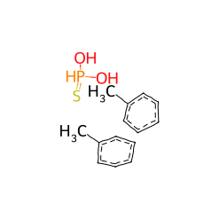 Cc1ccccc1.Cc1ccccc1.O[PH](O)=S